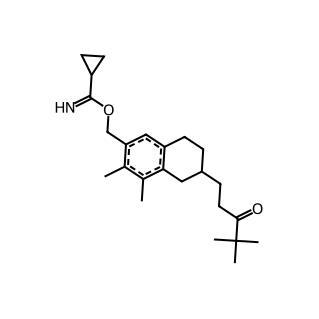 Cc1c(COC(=N)C2CC2)cc2c(c1C)CC(CCC(=O)C(C)(C)C)CC2